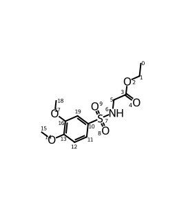 CCOC(=O)CNS(=O)(=O)c1ccc(OC)c(OC)c1